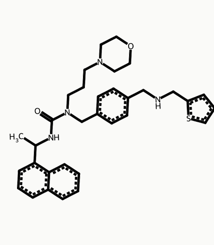 CC(NC(=O)N(CCCN1CCOCC1)Cc1ccc(CNCc2cccs2)cc1)c1cccc2ccccc12